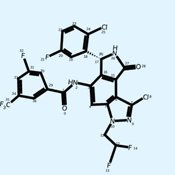 O=C(Nc1cc2c(c(Cl)nn2CC(F)F)c2c1[C@H](c1cc(F)ccc1Cl)NC2=O)c1cc(F)cc(C(F)(F)F)c1